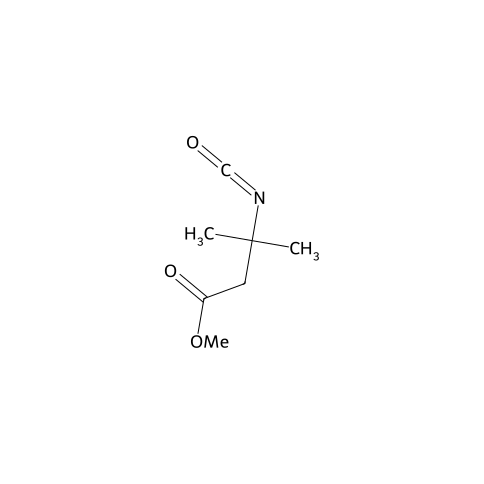 COC(=O)CC(C)(C)N=C=O